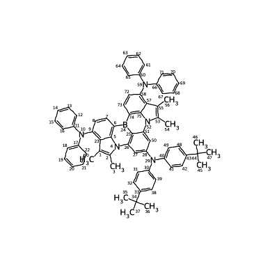 Cc1c(C)n2c3c(ccc(N(c4ccccc4)c4ccccc4)c13)B1c3c-2cc(N(c2ccc(C(C)(C)C)cc2)c2ccc(C(C)(C)C)cc2)cc3-n2c(C)c(C)c3c(N(c4ccccc4)c4ccccc4)ccc1c32